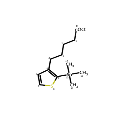 CCCCCCCCCCCCc1ccs[c]1[Sn]([CH3])([CH3])[CH3]